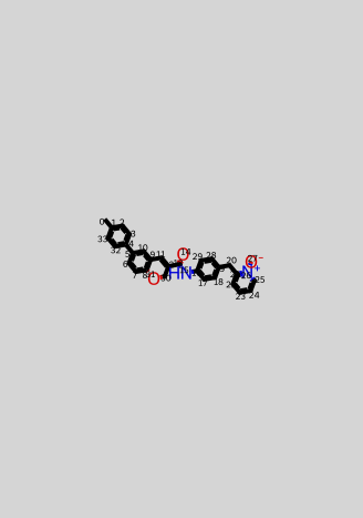 Cc1ccc(-c2ccc3c(c2)C=C(C(=O)Nc2ccc(Cc4cccc[n+]4[O-])cc2)CO3)cc1